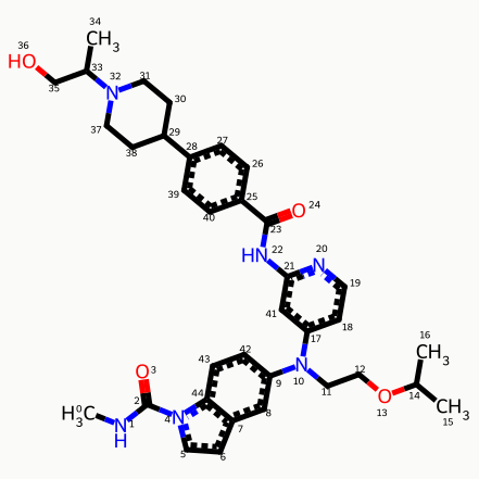 CNC(=O)n1ccc2cc(N(CCOC(C)C)c3ccnc(NC(=O)c4ccc(C5CCN(C(C)CO)CC5)cc4)c3)ccc21